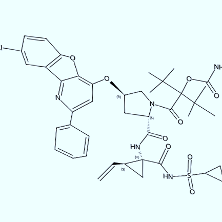 C=C[C@@H]1C[C@]1(NC(=O)[C@@H]1C[C@@H](Oc2cc(-c3ccccc3)nc3c2oc2ccc(Cl)cc23)CN1C(=O)C(OC(N)=O)(C(C)(C)C)C(C)(C)C)C(=O)NS(=O)(=O)C1CC1